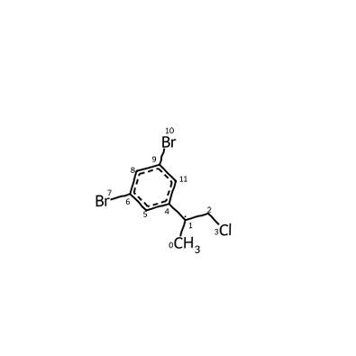 C[C](CCl)c1cc(Br)cc(Br)c1